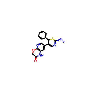 NC1=NC=C(c2cnc3c(c2)NC(=O)CO3)C(c2ccccc2)S1